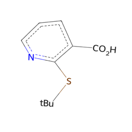 CC(C)(C)Sc1ncccc1C(=O)O